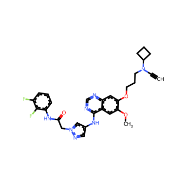 C#CN(CCCOc1cc2ncnc(Nc3cnn(CC(=O)Nc4cccc(F)c4F)c3)c2cc1OC)C1CCC1